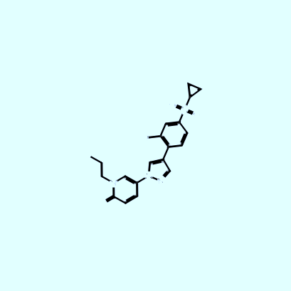 CCCn1cc(-n2cc(-c3ccc(S(=O)(=O)C4CC4)cc3Cl)cn2)ccc1=O